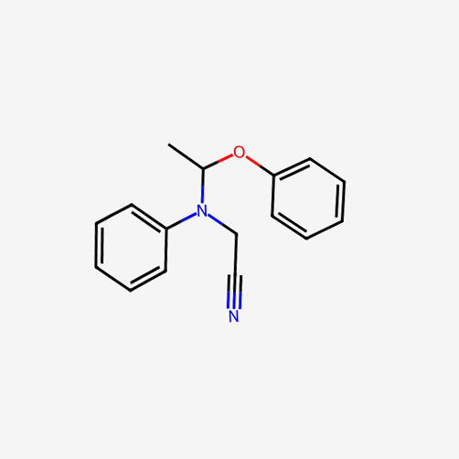 CC(Oc1ccccc1)N(CC#N)c1ccccc1